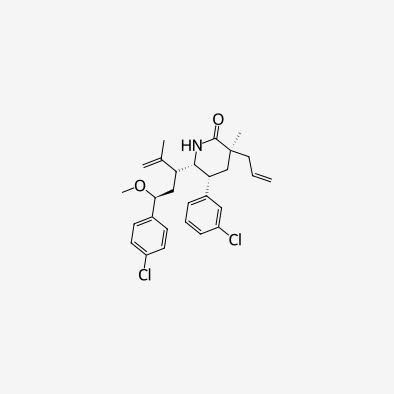 C=CC[C@@]1(C)C[C@H](c2cccc(Cl)c2)[C@H](C(C[C@H](OC)c2ccc(Cl)cc2)C(=C)C)NC1=O